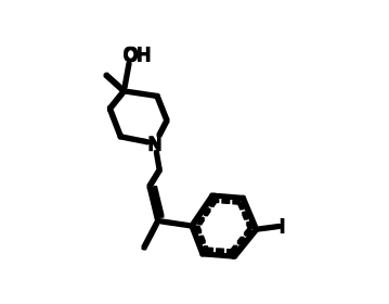 CC(=CCN1CCC(C)(O)CC1)c1ccc(I)cc1